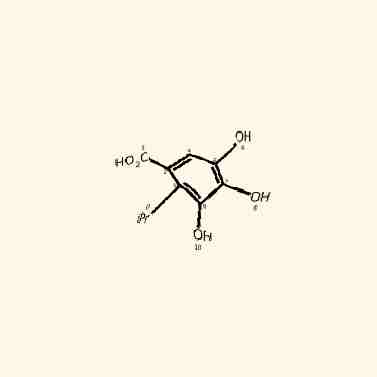 CC(C)c1c(C(=O)O)cc(O)c(O)c1O